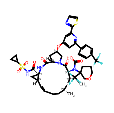 CC[C@@H]1C[C@H](C)CCC=C[C@@H]2C[C@@]2(C(=O)NS(=O)(=O)C2CC2)NC(=O)[C@@H]2C[C@@H](Oc3cc(-c4ccc(C(F)(F)F)cc4)nc(-c4nccs4)c3)CN2C(=O)[C@H]1N(C(=O)O)C1(C(F)(F)F)CCCOC1